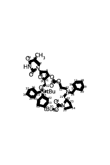 Cc1cn([C@H]2C[C@H](OC(=O)OCCN(Cc3ccccc3)C[C@@H]3CCCN3C(=O)OC(C)(C)C)[C@@H](CO[Si](c3ccccc3)(c3ccccc3)C(C)(C)C)O2)c(=O)[nH]c1=O